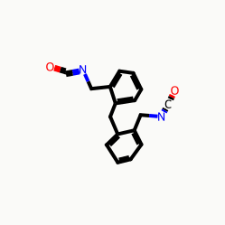 O=C=NCc1ccccc1Cc1ccccc1CN=C=O